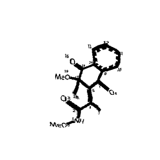 CONC(=O)/C(C)=C1/C(=O)c2ccccc2C(=O)C1(C)OC